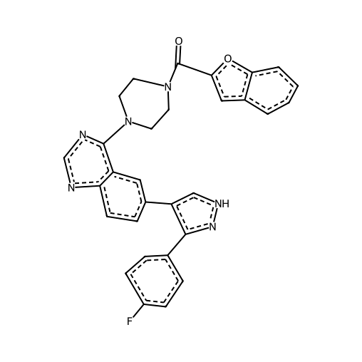 O=C(c1cc2ccccc2o1)N1CCN(c2ncnc3ccc(-c4c[nH]nc4-c4ccc(F)cc4)cc23)CC1